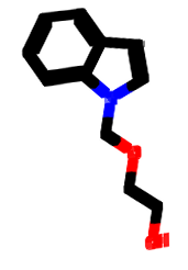 OCCOCn1c[c]c2ccccc21